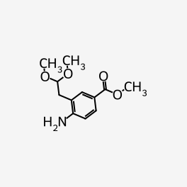 COC(=O)c1ccc(N)c(CC(OC)OC)c1